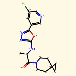 C[C@@H](Nc1nnc(-c2cncc(F)c2)o1)C(=O)N1CCC2(CC1)CC2